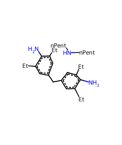 CCCCCNCCCCC.CCc1cc(Cc2cc(CC)c(N)c(CC)c2)cc(CC)c1N